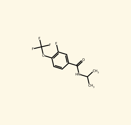 CC(C)NC(=O)c1ccc(OC(F)(F)F)c(F)c1